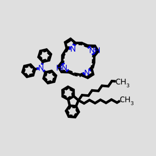 C1=Cc2cc3ccc(cc4nc(cc5ccc(cc1n2)[nH]5)C=C4)[nH]3.CCCCCCCCC1(CCCCCCCC)c2ccccc2-c2ccccc21.c1ccc(N(c2ccccc2)c2ccccc2)cc1